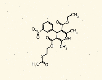 CCOC(=O)C1=C(C)NC(C)=C(C(=O)OCCSC(C)=O)C1c1cccc([N+](=O)[O-])c1